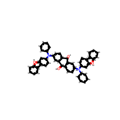 O=C1c2ccc(N(c3ccccc3)c3ccc4c(c3)oc3ccccc34)cc2C(=O)c2ccc(N(c3ccccc3)c3ccc4c(c3)oc3ccccc34)cc21